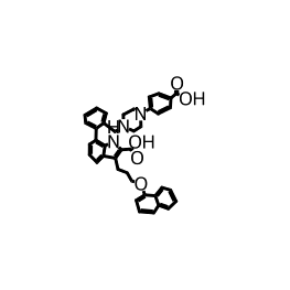 O=C(O)c1ccc(N2CCN(Cc3ccccc3-c3cccc4c(CCCOc5cccc6ccccc56)c(C(=O)O)[nH]c34)CC2)cc1